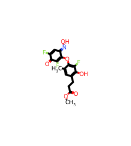 COC(=O)CCc1cc(C)c(OC2=C(F)C(=O)C(F)=C/C2=N\O)c(F)c1O